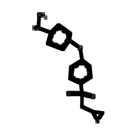 CNc1ccc(Oc2ccc(S(=O)(=O)CC3CS3)cc2)cc1